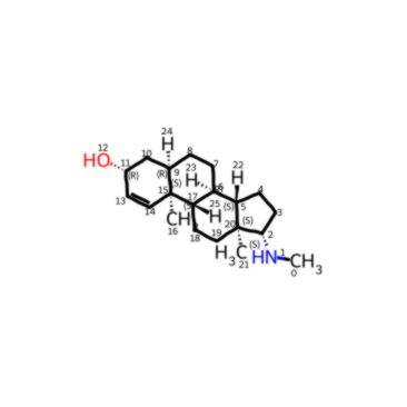 CN[C@H]1CC[C@H]2[C@@H]3CC[C@@H]4C[C@@H](O)C=C[C@]4(C)[C@H]3CC[C@]12C